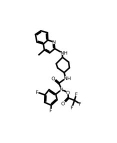 Cc1cc(NC2CCC(NC(=O)N(OC(=O)C(F)(F)F)c3cc(F)cc(F)c3)CC2)nc2ccccc12